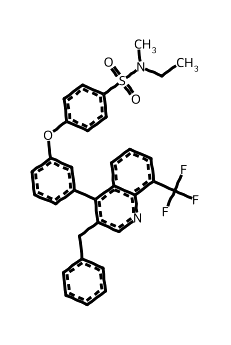 CCN(C)S(=O)(=O)c1ccc(Oc2cccc(-c3c(Cc4ccccc4)cnc4c(C(F)(F)F)cccc34)c2)cc1